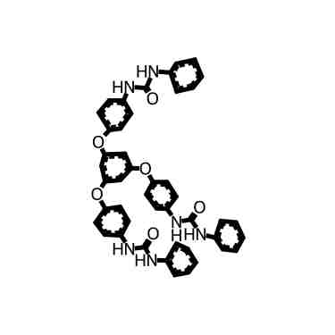 O=C(Nc1ccccc1)Nc1ccc(Oc2cc(Oc3ccc(NC(=O)Nc4ccccc4)cc3)cc(Oc3ccc(NC(=O)Nc4ccccc4)cc3)c2)cc1